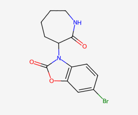 O=C1NCCCCC1n1c(=O)oc2cc(Br)ccc21